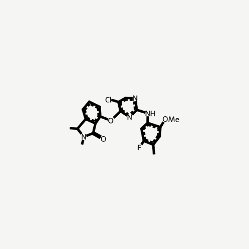 COc1cc(C)c(F)cc1Nc1ncc(Cl)c(Oc2cccc3c2C(=O)N(C)C3C)n1